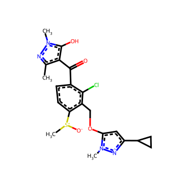 Cc1nn(C)c(O)c1C(=O)c1ccc([S+](C)[O-])c(COc2cc(C3CC3)nn2C)c1Cl